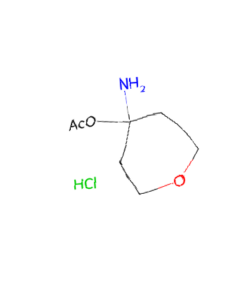 CC(=O)OC1(N)CCOCC1.Cl